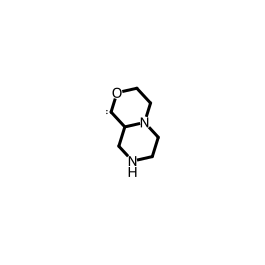 [C]1OCCN2CCNCC12